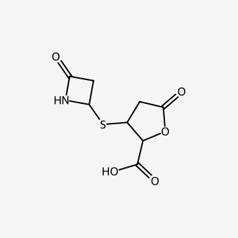 O=C1CC(SC2CC(=O)OC2C(=O)O)N1